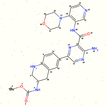 CC(C)(C)OC(=O)NC1CNc2ccc(-c3cnc(N)c(C(=O)Nc4cnccc4N4CCOCC4)n3)cc2C1